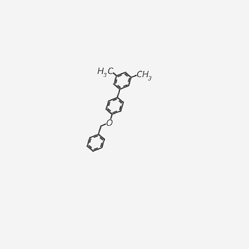 Cc1cc(C)cc(-c2ccc(OCc3ccccc3)cc2)c1